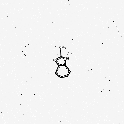 COc1nc2ccccc2[nH]1